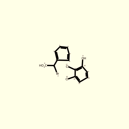 O=C(O)C(Br)c1ccccc1.Oc1cccc(Cl)c1Cl